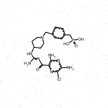 N/C(=N\C(=O)c1nc(Cl)c(N)nc1N)NC1CCN(Cc2ccc(CP(=O)(O)O)cc2)CC1